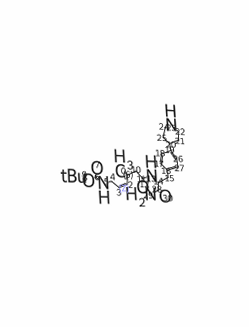 C[C@H](/C=C\CNC(=O)OC(C)(C)C)CC(=O)NC(Cc1ccc(C2CCNCC2)cc1)C(N)=O